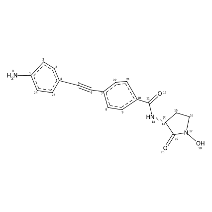 Nc1ccc(C#Cc2ccc(C(=O)N[C@@H]3CCN(O)C3=O)cc2)cc1